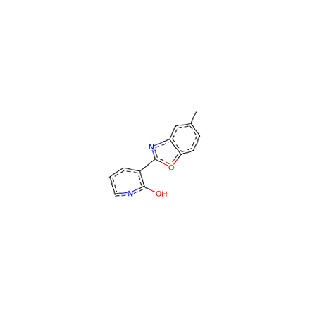 Cc1ccc2oc(-c3cccnc3O)nc2c1